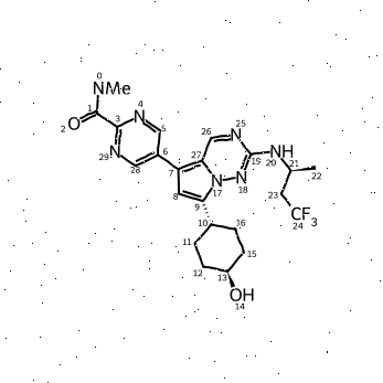 CNC(=O)c1ncc(-c2cc([C@H]3CC[C@H](O)CC3)n3nc(N[C@@H](C)CC(F)(F)F)ncc23)cn1